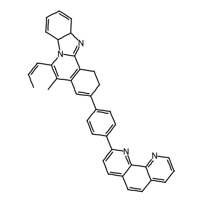 C/C=C\C1=C(C)C2=C(CCC(c3ccc(-c4ccc5ccc6cccnc6c5n4)cc3)=C2)C2=NC3C=CC=CC3N21